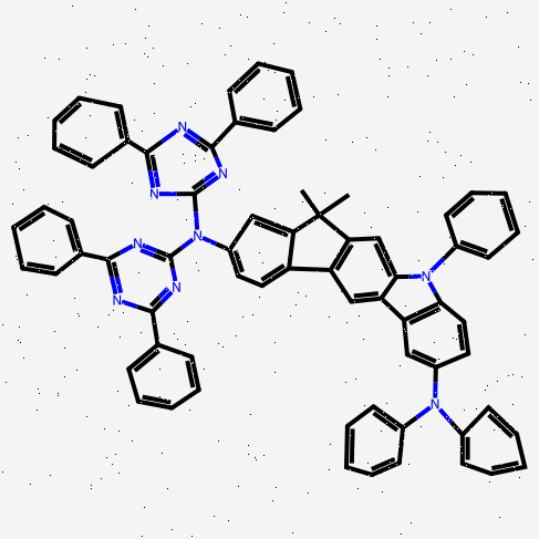 CC1(C)c2cc(N(c3nc(-c4ccccc4)nc(-c4ccccc4)n3)c3nc(-c4ccccc4)nc(-c4ccccc4)n3)ccc2-c2cc3c4cc(N(c5ccccc5)c5ccccc5)ccc4n(-c4ccccc4)c3cc21